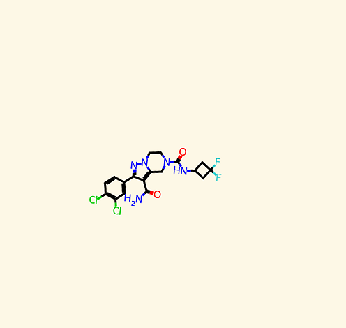 NC(=O)c1c(-c2ccc(Cl)c(Cl)c2)nn2c1CN(C(=O)NC1CC(F)(F)C1)CC2